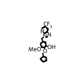 COc1cc(Cn2cnc3cc(C(F)(F)F)cnc32)cc(O)c1OCc1ccccc1